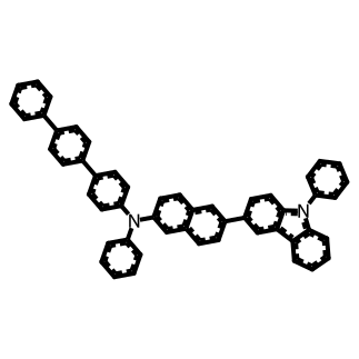 c1ccc(-c2ccc(-c3ccc(N(c4ccccc4)c4ccc5cc(-c6ccc7c(c6)c6ccccc6n7-c6ccccc6)ccc5c4)cc3)cc2)cc1